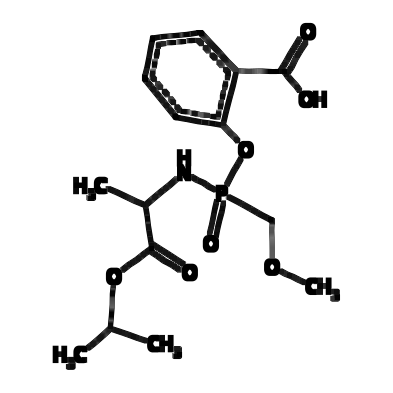 COCP(=O)(NC(C)C(=O)OC(C)C)Oc1ccccc1C(=O)O